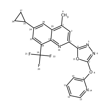 Cc1cc(-c2nnc(Oc3ccccn3)o2)nc2c(C(F)(F)F)cc(C3CC3)cc12